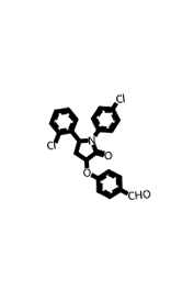 O=Cc1ccc(OC2CC(c3ccccc3Cl)N(c3ccc(Cl)cc3)C2=O)cc1